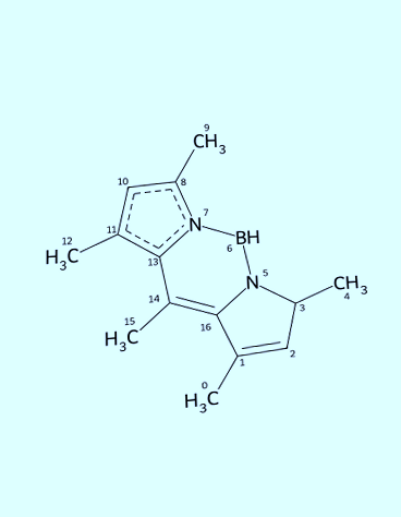 CC1=CC(C)N2Bn3c(C)cc(C)c3C(C)=C12